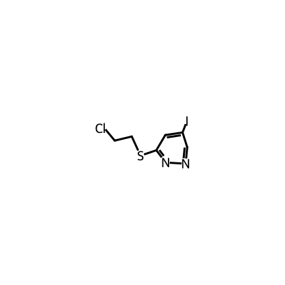 ClCCSc1cc(I)cnn1